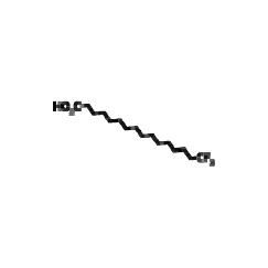 O=C(O)CCCCCCCCCCCC=CCC(F)(F)F